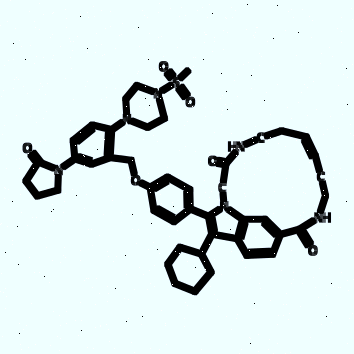 CS(=O)(=O)N1CCN(c2ccc(N3CCCC3=O)cc2COc2ccc(-c3c(C4CCCCC4)c4ccc5cc4n3CC(=O)NCCC=CCCNC5=O)cc2)CC1